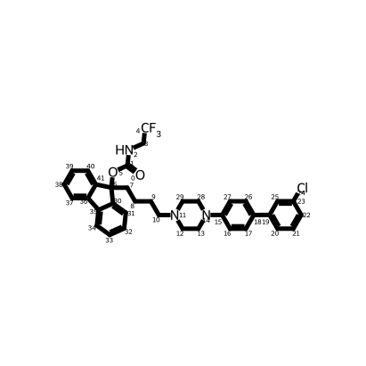 O=C(NCC(F)(F)F)OC1(CCCCN2CCN(c3ccc(-c4cccc(Cl)c4)cc3)CC2)c2ccccc2-c2ccccc21